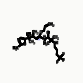 C=CCO/C(=C\C(=C)C(C)(C)c1cnc(C)o1)NC(=O)C(C)(C)NCCCC(F)(F)F